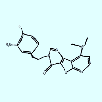 CN(C)c1ccnc2sc3c(=O)n(Cc4ccc(Cl)c(N)c4)cnc3c12